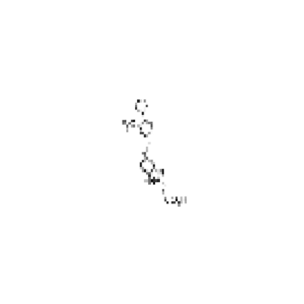 O=C(O)CCc1nc2cc(OCc3ccc(C4CCCC4)c(C(F)(F)F)c3)ccc2[nH]1